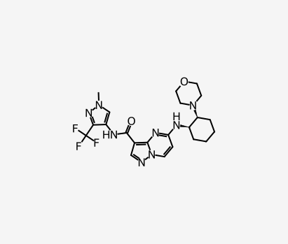 Cn1cc(NC(=O)c2cnn3ccc(N[C@@H]4CCCC[C@@H]4N4CCOCC4)nc23)c(C(F)(F)F)n1